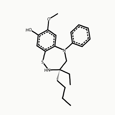 CCCC[C@@]1(CC)CN(c2ccccc2)c2cc(OC)c(O)cc2SN1